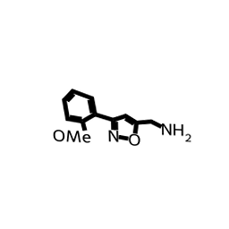 COc1ccccc1-c1cc(CN)on1